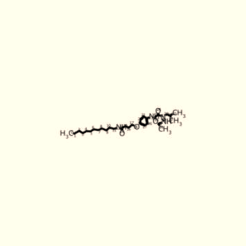 CCCCCCCCCCCCNC(=O)CCCOc1ccc(NCC(=O)N(CC(C)C)NC(C)=O)cc1